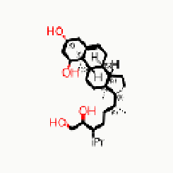 CC(C)C(CC[C@@H](C)[C@H]1CC[C@H]2[C@@H]3CC=C4C[C@@H](O)CC(O)[C@]4(C)[C@H]3CC[C@]12C)C(O)CO